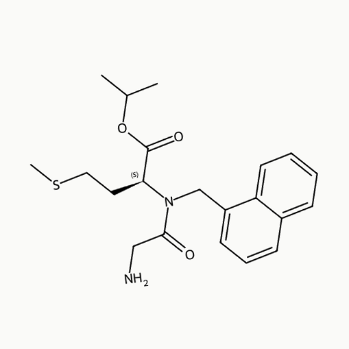 CSCC[C@@H](C(=O)OC(C)C)N(Cc1cccc2ccccc12)C(=O)CN